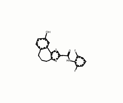 O=C(Nc1c(F)cccc1F)c1nc2c(s1)-c1cc(O)ccc1CCC2